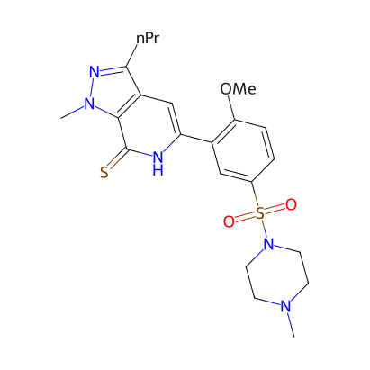 CCCc1nn(C)c2c(=S)[nH]c(-c3cc(S(=O)(=O)N4CCN(C)CC4)ccc3OC)cc12